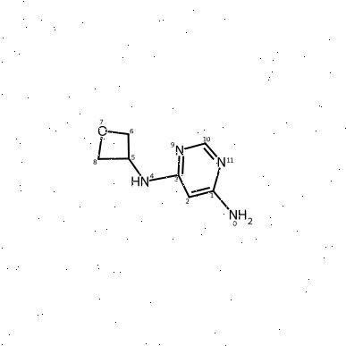 Nc1cc(NC2COC2)ncn1